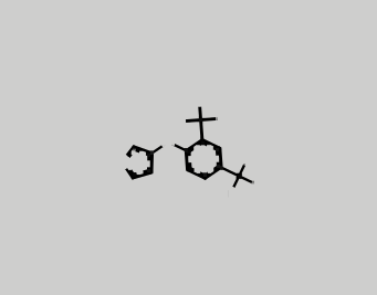 FC(F)(F)c1ccc(Oc2c[c]oc2)c(C(F)(F)F)c1